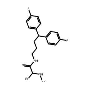 CC(C)NC(C(=O)NCCCC(c1ccc(F)cc1)c1ccc(F)cc1)C(C)C